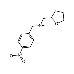 O=[N+]([O-])c1ccc(CNC[C@@H]2CCCO2)cc1